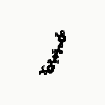 O=C(COc1ccc(Cl)c(F)c1)NC12CC(NC(=O)c3cc(OC(F)F)ccn3)(C1)C2